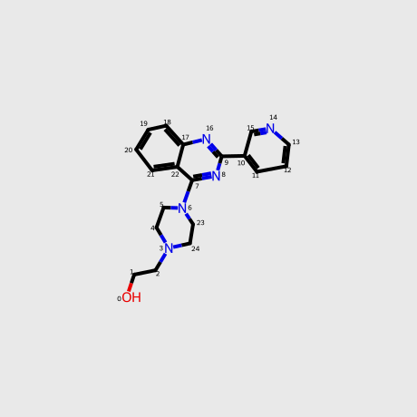 OCCN1CCN(c2nc(-c3cccnc3)nc3ccccc23)CC1